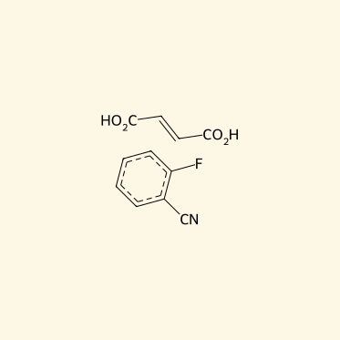 N#Cc1ccccc1F.O=C(O)/C=C/C(=O)O